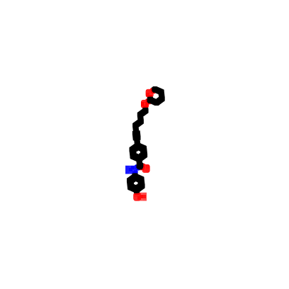 O=C(Nc1ccc(O)cc1)c1ccc(C#CCCCCOC2CCCCO2)cc1